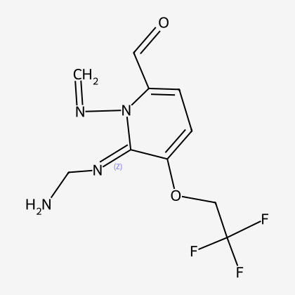 C=Nn1c(C=O)ccc(OCC(F)(F)F)/c1=N/CN